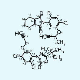 C#CC(C)Oc1cc(N2C(=O)C3=C(CCCC3)C2=O)c(F)cc1Cl.C#CCOc1cc(-n2nc(C(C)(C)C)oc2=O)c(Cl)cc1Cl